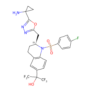 NC1(c2nnc(C[C@@H]3CCc4cc(C(O)(C(F)(F)F)C(F)(F)F)ccc4N3S(=O)(=O)c3ccc(F)cc3)o2)CC1